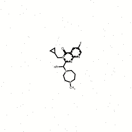 CCCC(c1nc2ncc(F)cc2c(=O)n1CC1CC1)N1CCCN(C)CC1